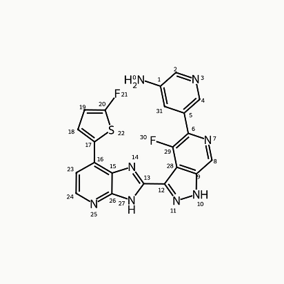 Nc1cncc(-c2ncc3[nH]nc(-c4nc5c(-c6ccc(F)s6)ccnc5[nH]4)c3c2F)c1